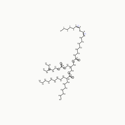 CCCCC/C=C\C/C=C\CCCCCCCC(=O)OCC(COC(=O)OCCN(CC)CC)COC(=O)C(CCCCCCC)CCCCCCCCC